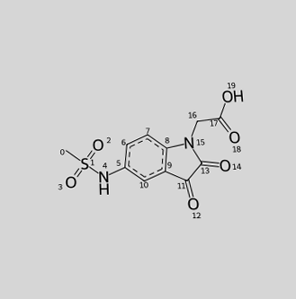 CS(=O)(=O)Nc1ccc2c(c1)C(=O)C(=O)N2CC(=O)O